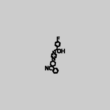 N#CC1(c2ccccc2)CCC(N2CCN(CC(O)c3ccc(F)cc3)CC2)CC1